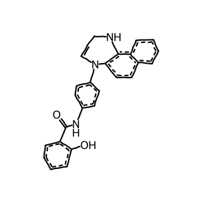 O=C(Nc1ccc(N2C=CCNc3c2ccc2ccccc32)cc1)c1ccccc1O